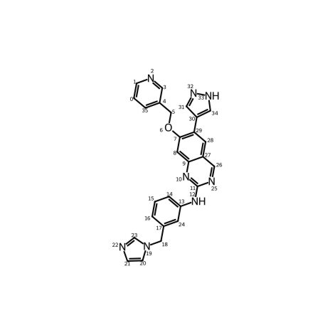 c1cncc(COc2cc3nc(Nc4cccc(Cn5ccnc5)c4)ncc3cc2-c2cn[nH]c2)c1